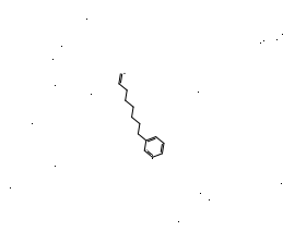 [CH]=CCCCCCCc1ccccc1